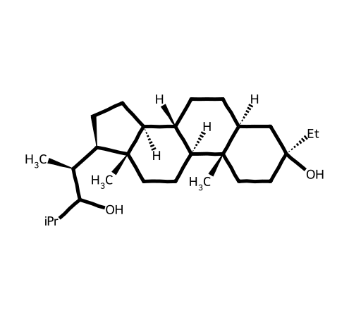 CC[C@]1(O)CC[C@@]2(C)[C@@H](CC[C@@H]3[C@@H]2CC[C@]2(C)[C@@H]([C@H](C)C(O)C(C)C)CC[C@@H]32)C1